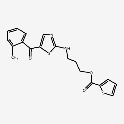 Cc1ccccc1C(=O)c1cnc(NCCCOC(=O)c2cccs2)s1